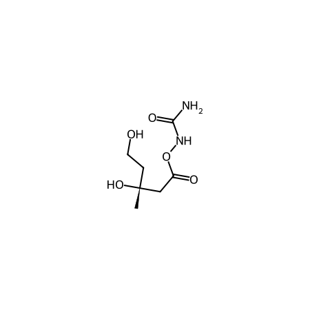 C[C@@](O)(CCO)CC(=O)ONC(N)=O